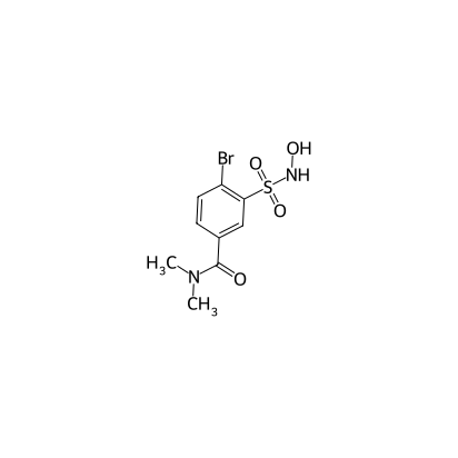 CN(C)C(=O)c1ccc(Br)c(S(=O)(=O)NO)c1